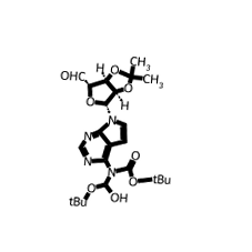 CC(C)(C)OC(=O)N(c1ncnc2c1ccn2[C@@H]1O[C@H](C=O)[C@H]2OC(C)(C)O[C@H]21)C(O)OC(C)(C)C